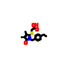 CCc1ccc(CN2C(=O)C(C)=C(C)C2SCC(=O)O)cc1